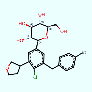 CCc1ccc(Cc2cc([C@@H]3O[C@H](CO)[C@@H](O)[C@H](O)[C@H]3O)cc(C3CCOC3)c2Cl)cc1